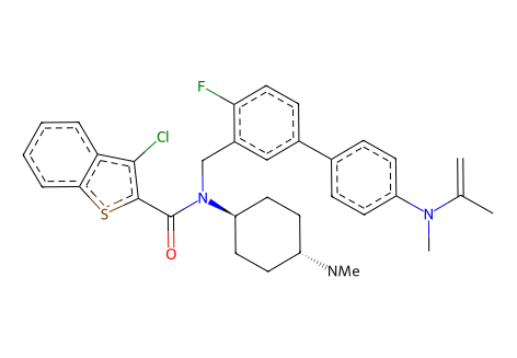 C=C(C)N(C)c1ccc(-c2ccc(F)c(CN(C(=O)c3sc4ccccc4c3Cl)[C@H]3CC[C@H](NC)CC3)c2)cc1